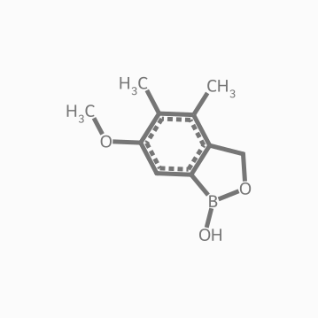 COc1cc2c(c(C)c1C)COB2O